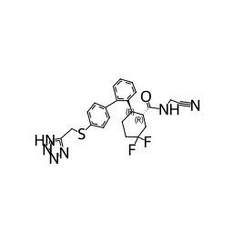 N#CCNC(=O)[C@@H]1CC(F)(F)CC[C@H]1c1ccccc1-c1ccc(SCc2nnn[nH]2)cc1